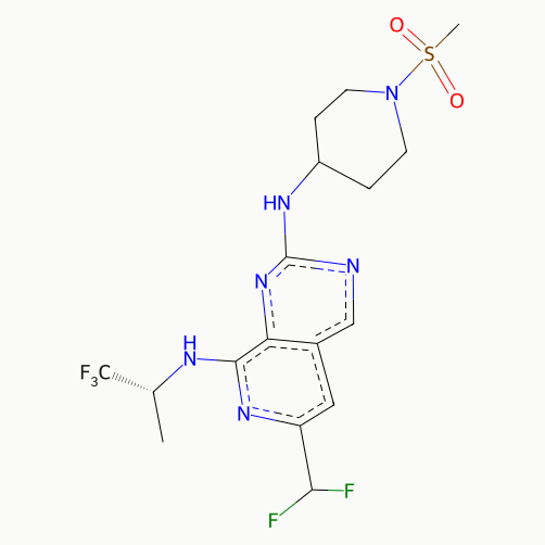 C[C@@H](Nc1nc(C(F)F)cc2cnc(NC3CCN(S(C)(=O)=O)CC3)nc12)C(F)(F)F